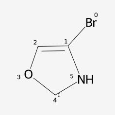 BrC1=CO[C]N1